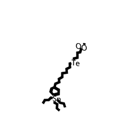 CCC[CH2][Sn]([CH2]CCC)([CH2]CCC)[c]1ccc(CCCCCCCCC[Te]CCCCC(=O)OC)cc1